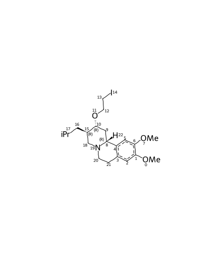 COc1cc2c(cc1OC)[C@H]1C[C@@H](OCCI)[C@H](CC(C)C)CN1CC2